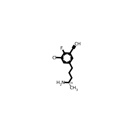 C#Cc1cc(CCC[C@H](C)N)cc(Cl)c1F